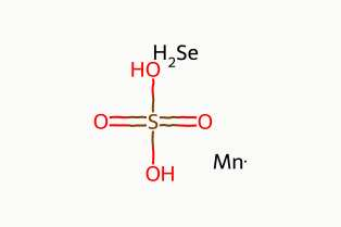 O=S(=O)(O)O.[Mn].[SeH2]